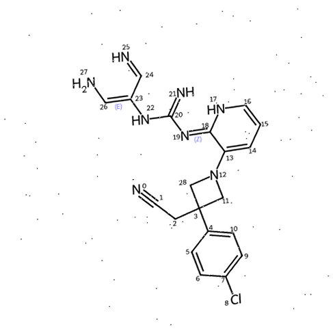 N#CCC1(c2ccc(Cl)cc2)CN(c2ccc[nH]/c2=N\C(=N)N/C(C=N)=C/N)C1